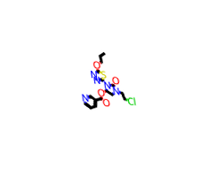 CCCOc1nnc(N2C(=O)N(CCCl)CC2OC(=O)c2cccnc2)s1